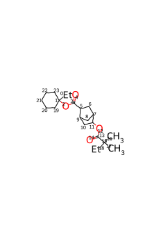 CCC1(OC(=O)C2CC3CC2CC3OC(=O)C(C)(C)CC)CCCCC1